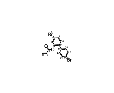 C=CC(=O)Oc1cc(Br)ccc1-c1ccc(Br)cc1